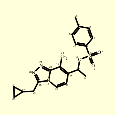 Cc1ccc(S(=O)(=O)OC(C)c2ccn3c(CC4CC4)nnc3c2C(F)(F)F)cc1